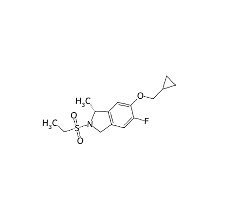 CCS(=O)(=O)N1Cc2cc(F)c(OCC3CC3)cc2[C@H]1C